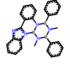 CN1B(c2ccccc2)N(C)B2N(B1c1ccccc1)c1ccccc1-c1nc3ccccc3n12